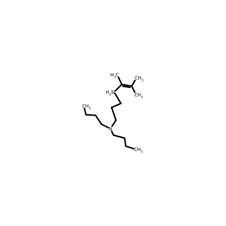 CCCCN(CCCC)CCC[SiH2]C(C)=C(C)C